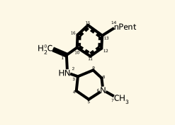 C=C(NC1CCN(C)CC1)c1ccc(CCCCC)cc1